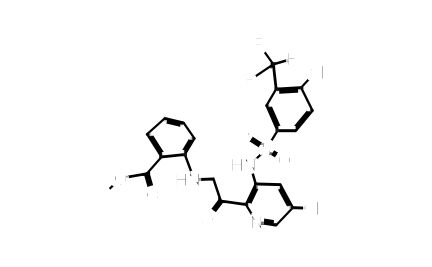 COC(=O)c1ccccc1NCC(=O)c1ncc(Cl)cc1NS(=O)(=O)c1ccc(Cl)c(C(F)(F)F)c1